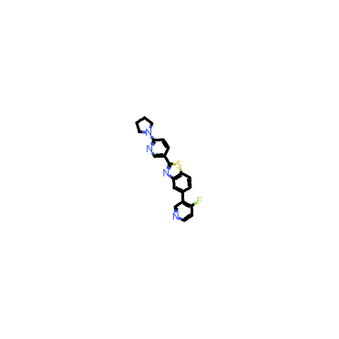 Fc1ccncc1-c1ccc2sc(-c3ccc(N4CCCC4)nc3)nc2c1